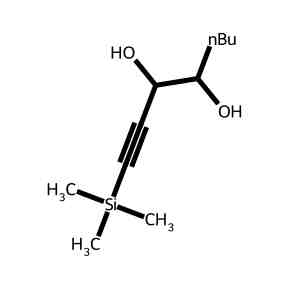 CCCCC(O)C(O)C#C[Si](C)(C)C